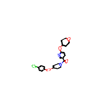 O=C(c1ccc(OC2CCOCC2)nc1)N1CCC(Oc2ccc(Cl)cc2)CC1